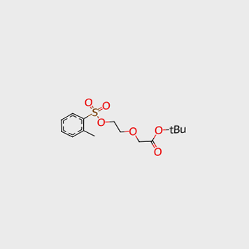 Cc1ccccc1S(=O)(=O)OCCOCC(=O)OC(C)(C)C